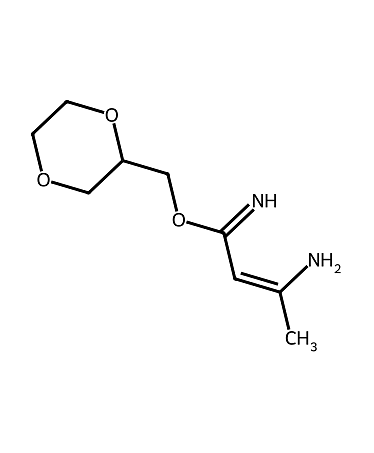 C/C(N)=C/C(=N)OCC1COCCO1